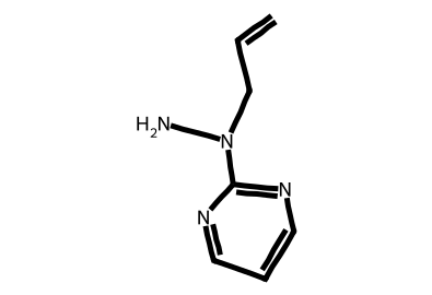 C=CCN(N)c1ncccn1